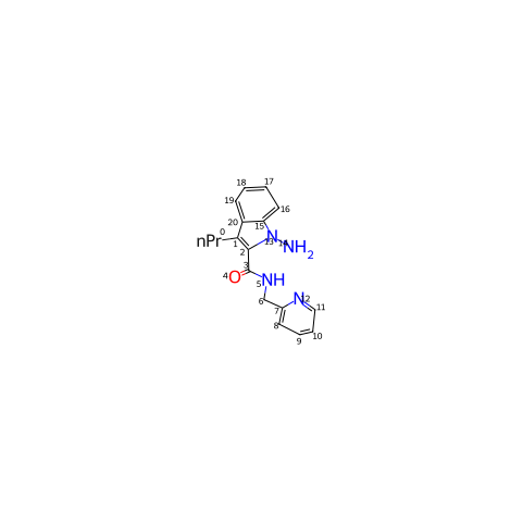 CCCc1c(C(=O)NCc2ccccn2)n(N)c2ccccc12